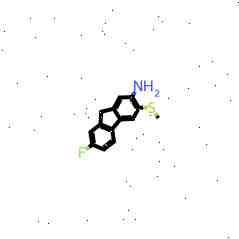 CSc1cc2c(cc1N)Cc1cc(F)ccc1-2